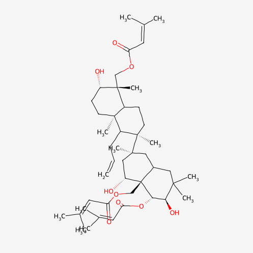 C=CCC1[C@@]2(C)CC[C@H](O)[C@](C)(COC(=O)C=C(C)C)C2CC[C@@]1(C)[C@@]1(C)CC2CC(C)(C)[C@@H](O)[C@H](OC(=O)C=C(C)C)[C@]2(COC(=O)C=C(C)C)[C@H](O)C1